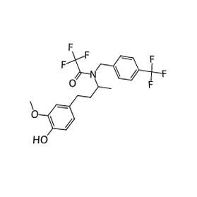 COc1cc(CCC(C)N(Cc2ccc(C(F)(F)F)cc2)C(=O)C(F)(F)F)ccc1O